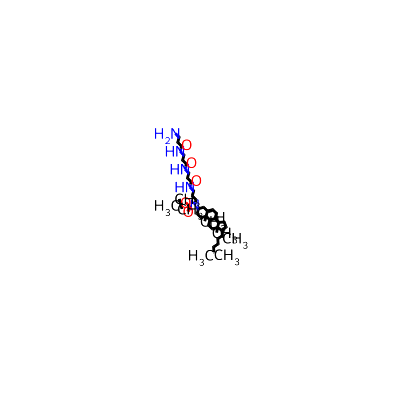 CC(C)CCC[C@@H](C)C1CCC2[C@H]3CC=C4C[C@@H](N(CCCNC(=O)CCNC(=O)CCNC(=O)CCN)C(=O)OC(C)(C)C)CCC4(C)C3CCC21C